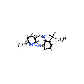 CC(C)(C(=O)O)c1cccc2c1NCc1ccc(C(F)(F)F)nc1N2